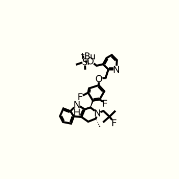 C[C@@H]1Cc2c([nH]c3ccccc23)[C@@H](c2c(F)cc(OCc3ncccc3CO[Si](C)(C)C(C)(C)C)cc2F)N1CC(C)(C)F